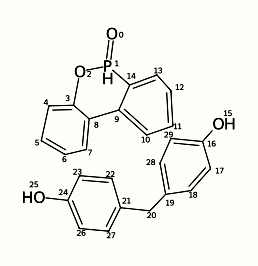 O=[PH]1Oc2ccccc2-c2ccccc21.Oc1ccc(Cc2ccc(O)cc2)cc1